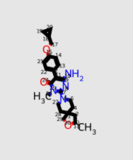 C[C@H]1CC2(CCN(c3nc(N)c(-c4ccc(OCC5CC5)cc4)c(=O)n3C)CC2)CO1